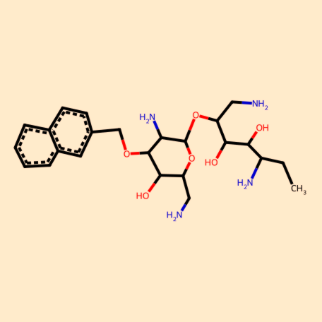 CCC(N)C(O)C(O)C(CN)OC1OC(CN)C(O)C(OCc2ccc3ccccc3c2)C1N